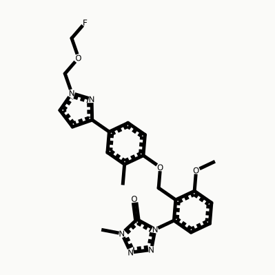 COc1cccc(-n2nnn(C)c2=O)c1COc1ccc(-c2ccn(COCF)n2)cc1C